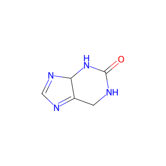 O=C1NCC2=NC=NC2N1